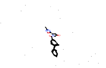 Cc1noc([C@@H]2CC(=O)CN2C(=O)c2ccc(-c3ccccc3)cc2)n1